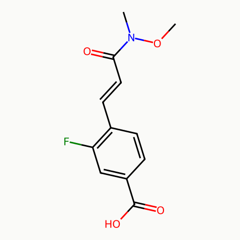 CON(C)C(=O)C=Cc1ccc(C(=O)O)cc1F